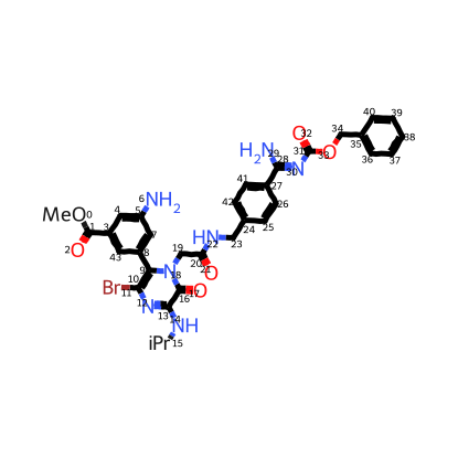 COC(=O)c1cc(N)cc(-c2c(Br)nc(NC(C)C)c(=O)n2CC(=O)NCc2ccc(/C(N)=N/C(=O)OCc3ccccc3)cc2)c1